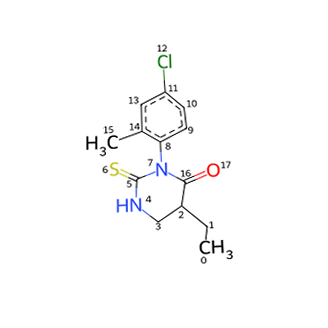 CCC1CNC(=S)N(c2ccc(Cl)cc2C)C1=O